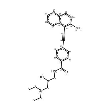 CCN(CC)CC(O)CNC(=O)c1ccc(C#Cc2c(N)ncc3ncccc23)cc1